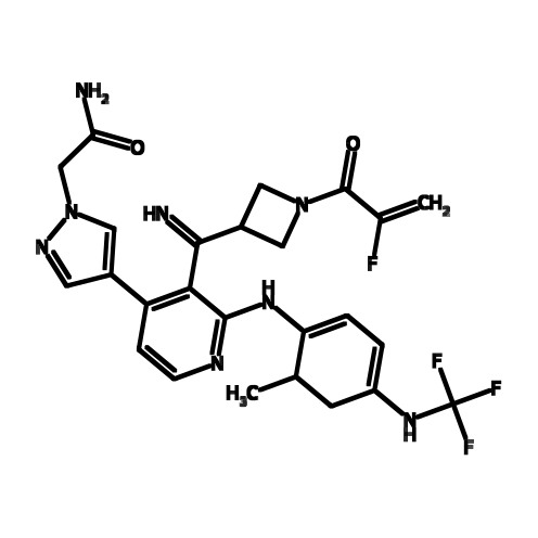 C=C(F)C(=O)N1CC(C(=N)c2c(-c3cnn(CC(N)=O)c3)ccnc2NC2=CC=C(NC(F)(F)F)CC2C)C1